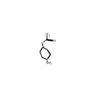 N[C@H]1CC[C@@H](OC(=O)C(F)(F)F)CC1